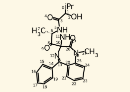 CC(C)C(O)C(=O)N[C@@H](C)C(=O)C1(N)N=C(c2ccccc2)c2ccccc2N(C)C1=O